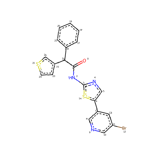 O=C(Nc1ncc(-c2cncc(Br)c2)s1)C(c1ccccc1)c1ccsc1